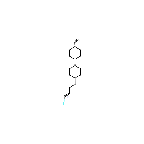 CCC[C@H]1CC[C@H](C2CCC(CC/C=C/F)CC2)CC1